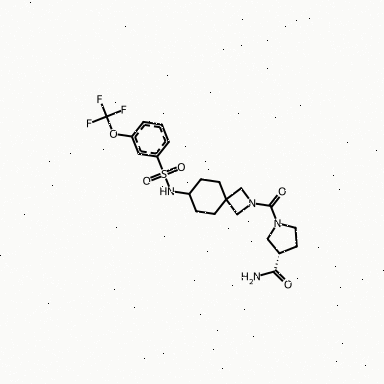 NC(=O)[C@H]1CCN(C(=O)N2CC3(CCC(NS(=O)(=O)c4cccc(OC(F)(F)F)c4)CC3)C2)C1